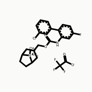 C[N+]1(C)C2CCC1CC(COC(=O)Nc1cc(F)ccc1-c1cccc(Cl)c1)C2.O=C([O-])C(F)(F)F